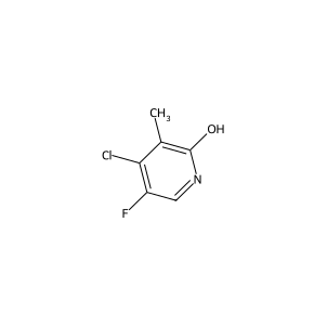 Cc1c(O)ncc(F)c1Cl